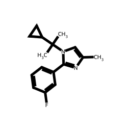 Cc1cn(C(C)(C)C2CC2)c(-c2cccc(F)c2)n1